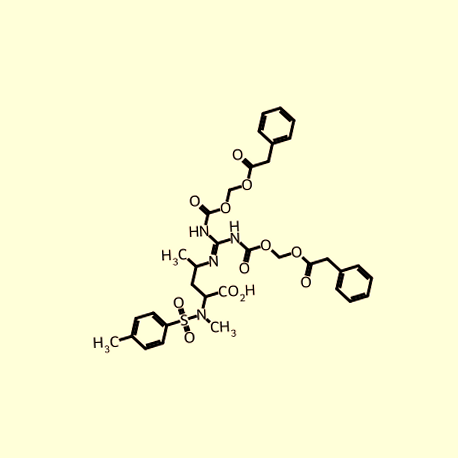 Cc1ccc(S(=O)(=O)N(C)C(CC(C)N=C(NC(=O)OCOC(=O)Cc2ccccc2)NC(=O)OCOC(=O)Cc2ccccc2)C(=O)O)cc1